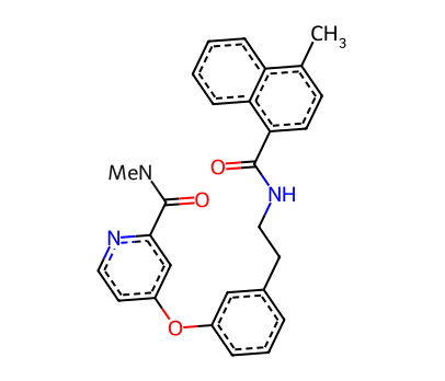 CNC(=O)c1cc(Oc2cccc(CCNC(=O)c3ccc(C)c4ccccc34)c2)ccn1